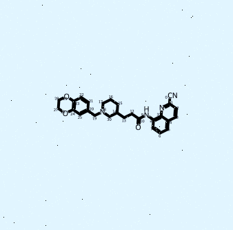 N#Cc1ccc2cccc(NC(=O)CCC3CCCN(Cc4ccc5c(c4)OCCO5)C3)c2n1